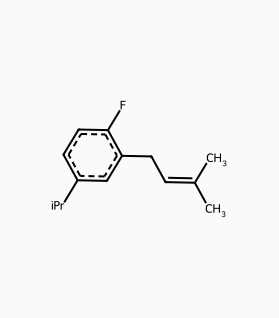 CC(C)=CCc1cc(C(C)C)ccc1F